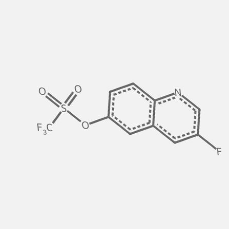 O=S(=O)(Oc1ccc2ncc(F)cc2c1)C(F)(F)F